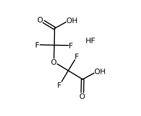 F.O=C(O)C(F)(F)OC(F)(F)C(=O)O